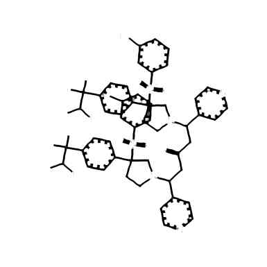 O=C(CC(c1ccncc1)N1CCC(c2ccc(C(F)(C(F)F)C(F)(F)F)cc2)(S(=O)(=O)c2cccc(Br)c2)C1)CC(c1ccncc1)N1CCC(c2ccc(C(F)(C(F)F)C(F)(F)F)cc2)(S(=O)(=O)c2cccc(Br)c2)C1